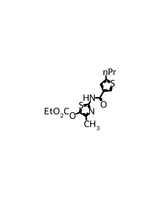 CCCc1cc(C(=O)Nc2nc(C)c(OC(=O)OCC)s2)cs1